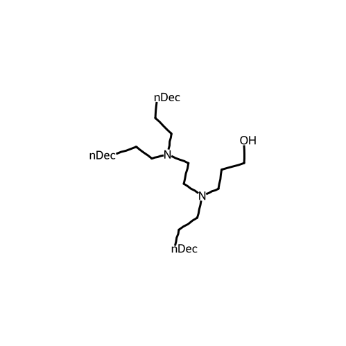 CCCCCCCCCCCCN(CCCO)CCN(CCCCCCCCCCCC)CCCCCCCCCCCC